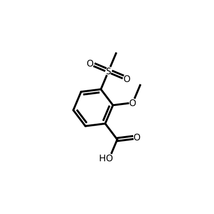 COc1c(C(=O)O)cccc1S(C)(=O)=O